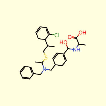 CC(NC(O)C1=CCC(CN(Cc2ccccc2)C(C)SCC(C)C2CC=CC=C2Cl)C=C1)C(=O)O